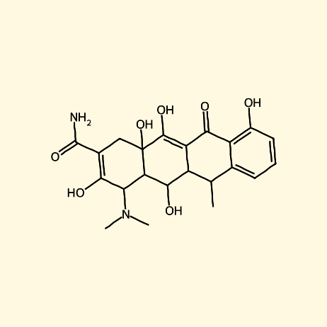 CC1c2cccc(O)c2C(=O)C2=C(O)C3(O)CC(C(N)=O)=C(O)C(N(C)C)C3C(O)C21